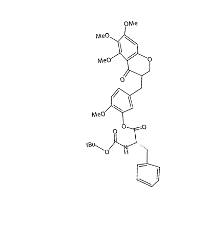 COc1ccc(CC2COc3cc(OC)c(OC)c(OC)c3C2=O)cc1OC(=O)[C@H](Cc1ccccc1)NC(=O)OC(C)(C)C